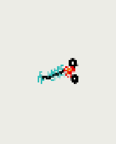 FC(F)(F)CCC(F)(F)C(F)(F)C(F)(F)C(F)(F)C(F)(F)OP(Oc1ccccc1)Oc1ccccc1